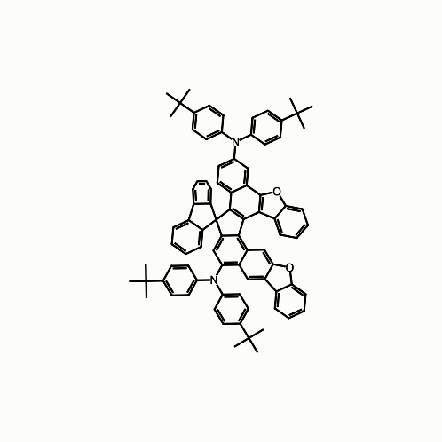 CC(C)(C)c1ccc(N(c2ccc(C(C)(C)C)cc2)c2ccc3c4c(c5c6ccccc6oc5c3c2)-c2c(cc(N(c3ccc(C(C)(C)C)cc3)c3ccc(C(C)(C)C)cc3)c3cc5c(cc23)oc2ccccc25)C42c3ccccc3-c3ccccc32)cc1